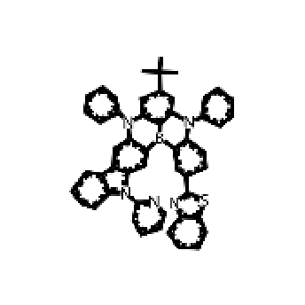 CC(C)(C)c1cc2c3c(c1)N(c1ccccc1)c1cc4c5ccccc5n(-c5ccccn5)c4cc1B3c1cc(-c3nc4ccccc4s3)ccc1N2c1ccccc1